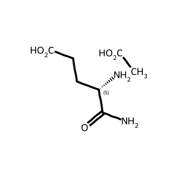 CC(=O)O.NC(=O)[C@@H](N)CCC(=O)O